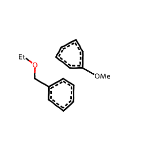 CCOCc1ccccc1.COc1ccccc1